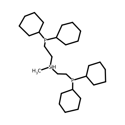 C[SiH](CCP(C1CCCCC1)C1CCCCC1)CCP(C1CCCCC1)C1CCCCC1